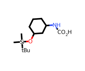 CC(C)(C)[Si](C)(C)OC1CCCC(NC(=O)O)C1